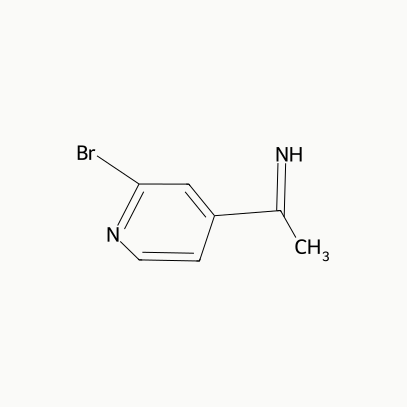 CC(=N)c1ccnc(Br)c1